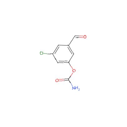 NC(=O)Oc1cc(Cl)cc(C=O)c1